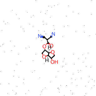 N#CC(C#N)C(=O)O[C@H]1CO[C@H]2[C@@H]1OC[C@H]2O